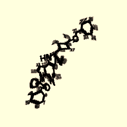 O=S(=O)(c1ccccc1)n1ccc2c3[nH]c(C4CC(COCc5ccccc5)C4)nc3cnc21